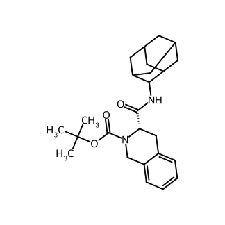 CC(C)(C)OC(=O)N1Cc2ccccc2C[C@H]1C(=O)NC1C2CC3CC(C2)CC1C3